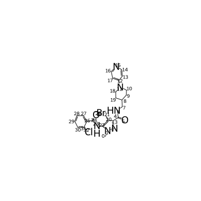 Cn1nc(C(=O)NCC2CCN(c3ccncc3)CC2)c(Br)c1NC(=O)c1ccccc1Cl